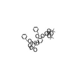 COC(=O)C(Cc1ccc(OCOP(=O)(OC(C)(C)C)OC(C)(C)C)c(OCc2ccccc2)c1)NC(=O)OCc1ccccc1